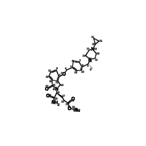 C[C@H](c1ccc(COc2cccc3c2CN([C@@H](CCC(=O)OC(C)(C)C)C(N)=O)C3=O)cc1)N1CCN(C2CC2)CC1